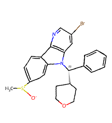 C[S+]([O-])c1ccc2c3ncc(Br)cc3n([C@H](c3ccccc3)C3CCOCC3)c2c1